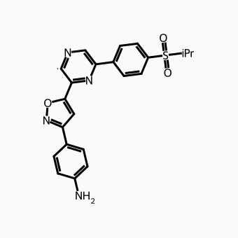 CC(C)S(=O)(=O)c1ccc(-c2cn[c]c(-c3cc(-c4ccc(N)cc4)no3)n2)cc1